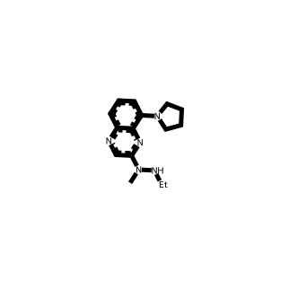 CCNN(C)c1cnc2cccc(N3CCCC3)c2n1